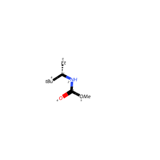 CC[C@H](NC(=O)OC)C(C)(C)C